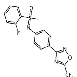 CS(=O)(=Nc1ccc(-c2noc(C(F)(F)F)n2)cc1)c1ccccc1F